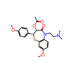 COc1ccc([C@@H]2Sc3cc(OC)ccc3N(CCN(C)C)C(=O)[C@@H]2OC(C)=O)cc1